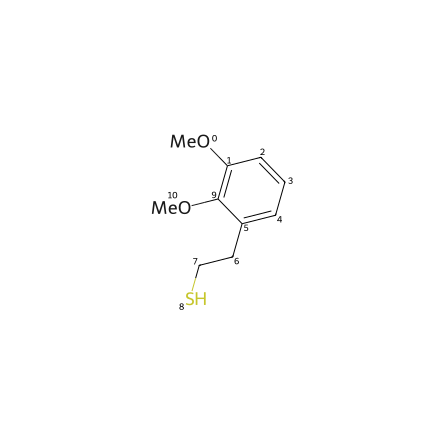 COc1cccc(CCS)c1OC